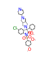 COc1ccc(S(=O)(=O)N2C(=O)C(c3ccccc3OC)(N3CC4=CN(c5ccncc5)CC4C3)c3cc(Cl)ccc32)c(OC)c1